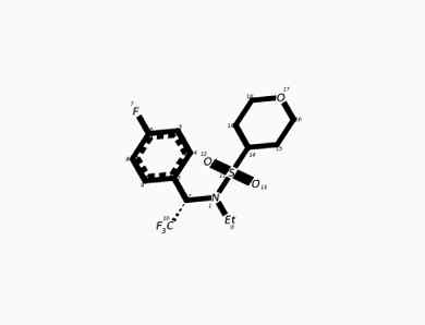 CCN([C@@H](c1ccc(F)cc1)C(F)(F)F)S(=O)(=O)C1CCOCC1